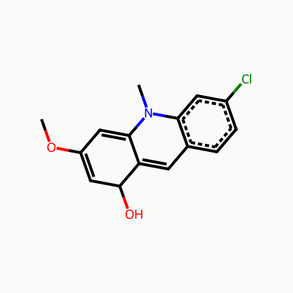 COC1=CC(O)C2=Cc3ccc(Cl)cc3N(C)C2=C1